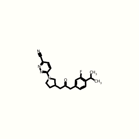 CC(C)c1ccc(CC(=O)CC2CCN(c3ccc(C#N)nn3)C2)cc1F